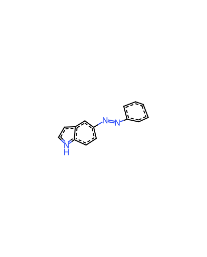 c1ccc(N=Nc2ccc3[nH]ccc3c2)cc1